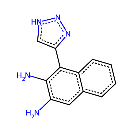 Nc1cc2ccccc2c(-c2c[nH]nn2)c1N